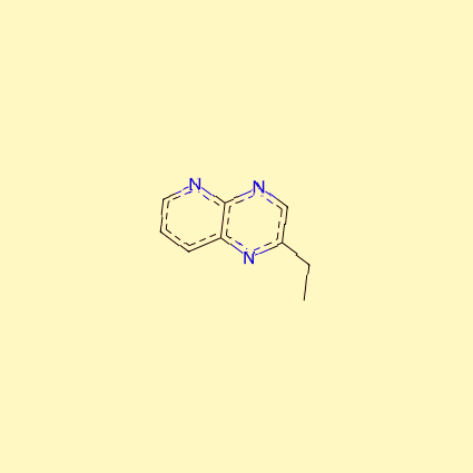 CCc1cnc2ncccc2n1